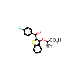 CCCC(Oc1c(C(=O)c2ccc(F)cc2)sc2ccccc12)C(=O)O